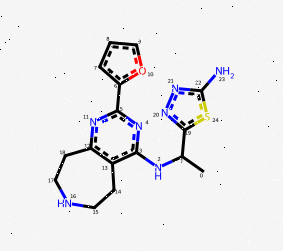 CC(Nc1nc(-c2ccco2)nc2c1CCNCC2)c1nnc(N)s1